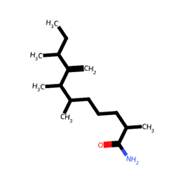 C=C(C(C)CC)C(C)C(C)CCCC(C)C(N)=O